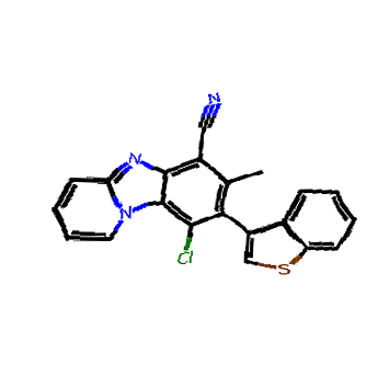 Cc1c(-c2csc3ccccc23)c(Cl)c2c(nc3ccccn32)c1C#N